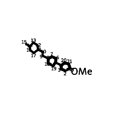 COc1ccc(-c2ccc(CCC3CCC(C)CC3)cc2)cc1